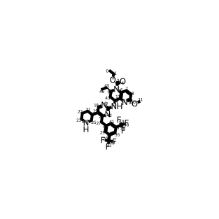 CCOC(=O)N1c2ccc(OC)nc2[C@@H](Nc2ncc(C3CCCNC3)c(Cc3cc(C(F)(F)F)cc(C(F)(F)F)c3)n2)C[C@H]1CC